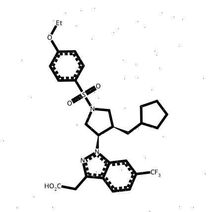 CCOc1ccc(S(=O)(=O)N2C[C@@H](CC3CCCC3)[C@@H](n3nc(CC(=O)O)c4ccc(C(F)(F)F)cc43)C2)cc1